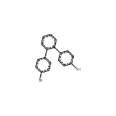 Sc1ccc(-c2ccccc2-c2ccc(S)cc2)cc1